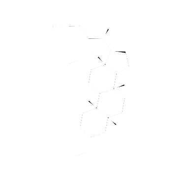 CCO[C@@H]1CC[C@@]2(C)[C@H](CC[C@@H]3[C@@H]2C[C@H](OCC)[C@]2(C)[C@@H]([C@H](C)CCC(=O)O)CC[C@@H]32)C1